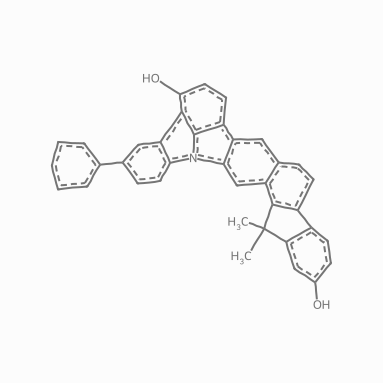 CC1(C)c2cc(O)ccc2-c2ccc3cc4c5ccc(O)c6c7cc(-c8ccccc8)ccc7n(c4cc3c21)c56